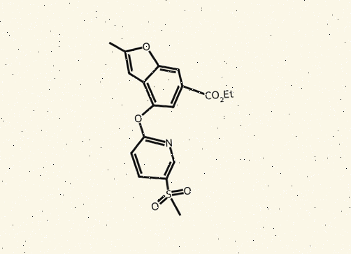 CCOC(=O)c1cc(Oc2ccc(S(C)(=O)=O)cn2)c2cc(C)oc2c1